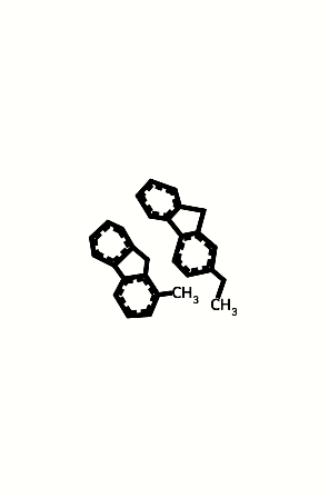 CCc1ccc2c(c1)Cc1ccccc1-2.Cc1cccc2c1Cc1ccccc1-2